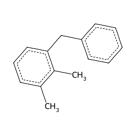 Cc1cccc(Cc2ccccc2)c1C